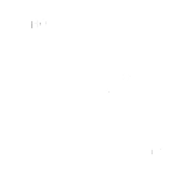 CC(C)CCCC(=O)CCCCO